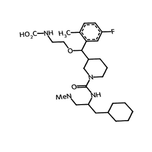 CNCC(CC1CCCCC1)NC(=O)N1CCCC(C(OCCNC(=O)O)c2cc(F)ccc2C)C1